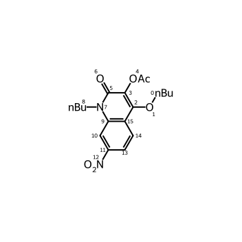 CCCCOc1c(OC(C)=O)c(=O)n(CCCC)c2cc([N+](=O)[O-])ccc12